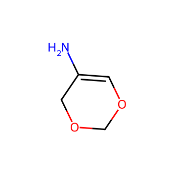 NC1=COCOC1